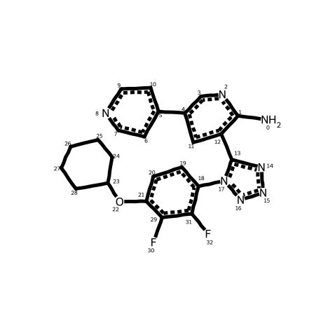 Nc1ncc(-c2ccncc2)cc1-c1nnnn1-c1ccc(OC2CCCCC2)c(F)c1F